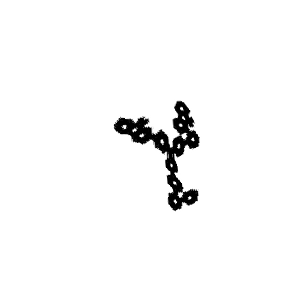 CC1(C)c2ccccc2-c2ccc(-c3ccc(N(c4ccc(-c5ccc(-c6ccccc6-c6ccccc6)cc5)cc4)c4ccc(-c5ccccc5-c5cccc6c5C(C)(C)c5ccccc5-6)cc4)cc3)cc21